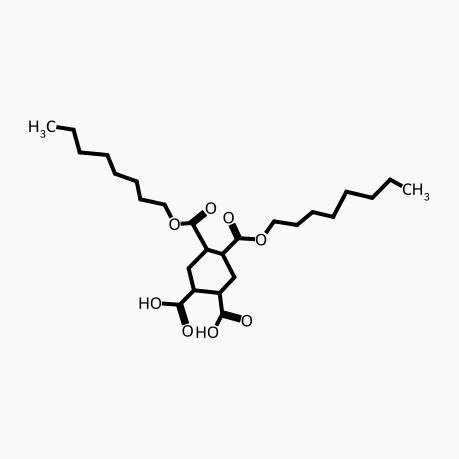 CCCCCCCCOC(=O)C1CC(C(=O)O)C(C(=O)O)CC1C(=O)OCCCCCCCC